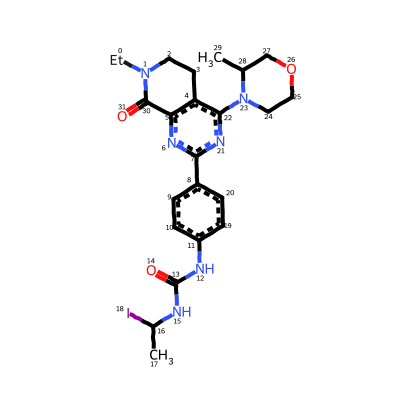 CCN1CCc2c(nc(-c3ccc(NC(=O)NC(C)I)cc3)nc2N2CCOCC2C)C1=O